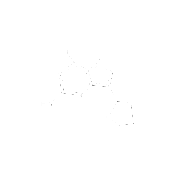 Nc1nc(N)c2ncn(C3OCCO3)c2n1